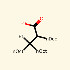 CCCCCCCCCCC(C([O])=O)C(CC)(CCCCCCCC)CCCCCCCC